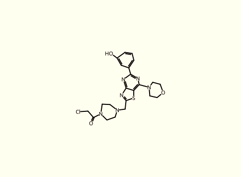 O=C(CCl)N1CCN(Cc2nc3nc(-c4cccc(O)c4)nc(N4CCOCC4)c3s2)CC1